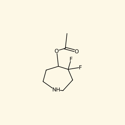 CC(=O)OC1CCNCCC1(F)F